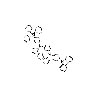 c1ccc(-c2c(-n3c4ccccc4c4cc(-n5c6ccccc6c6ccccc65)ccc43)cccc2-n2c3ccccc3c3cc([Si](c4ccccc4)(c4ccccc4)c4ccccc4)ccc32)cc1